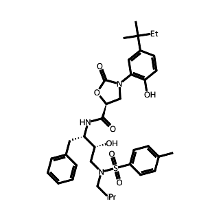 CCC(C)(C)c1ccc(O)c(N2C[C@@H](C(=O)N[C@@H](Cc3ccccc3)[C@H](O)CN(CC(C)C)S(=O)(=O)c3ccc(C)cc3)OC2=O)c1